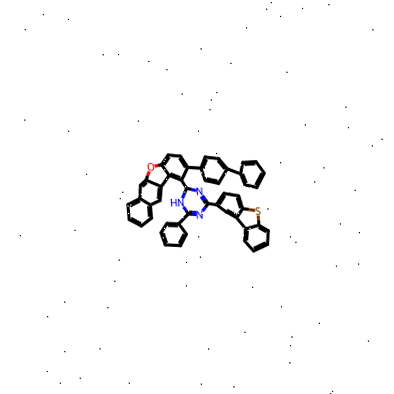 c1ccc(C2=NC(c3ccc4sc5ccccc5c4c3)=NC(c3c(-c4ccc(-c5ccccc5)cc4)ccc4oc5cc6ccccc6cc5c34)N2)cc1